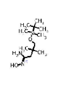 CC(C)(CO[Si](C)(C)C(C)(C)C)C/C(N)=N/O